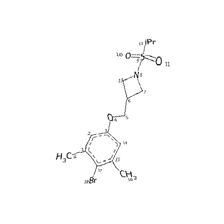 Cc1cc(OCC2CN(S(=O)(=O)C(C)C)C2)cc(C)c1Br